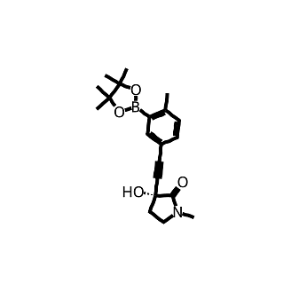 Cc1ccc(C#C[C@]2(O)CCN(C)C2=O)cc1B1OC(C)(C)C(C)(C)O1